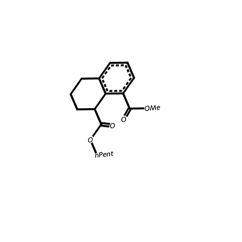 CCCCCOC(=O)C1CCCc2cccc(C(=O)OC)c21